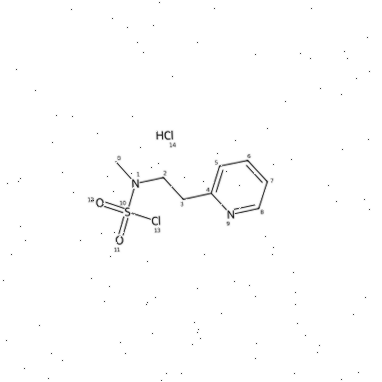 CN(CCc1ccccn1)S(=O)(=O)Cl.Cl